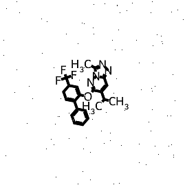 Cc1nnc2cc(C(C)C)c(OC3=CC(C(F)(F)F)CC=C3c3ccccc3)nn12